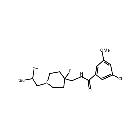 COc1cc(Cl)cc(C(=O)NCC2(F)CCN(CC(O)C(C)(C)C)CC2)c1